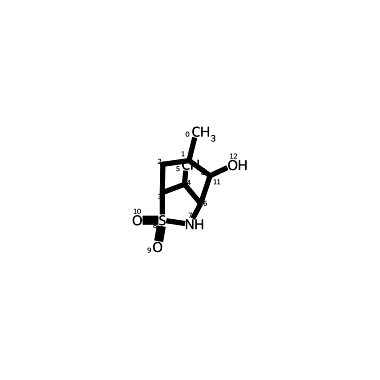 CC1CC2C(C)C(NS2(=O)=O)C1O